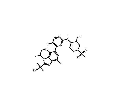 CC1COc2c(-c3nc(NC4CCN(S(C)(=O)=O)CC4O)ncc3F)cc(F)c3nc(C(C)(C)O)n1c23